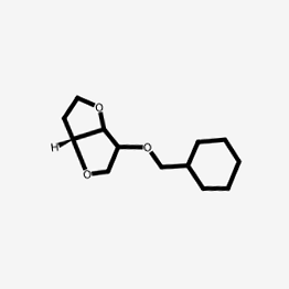 C1CCC(COC2CO[C@@H]3CCOC23)CC1